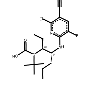 CCC[C@@H](Nc1nc(Cl)c(C#N)cc1F)[C@H](CC)N(C(=O)O)C(C)(C)C